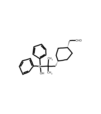 CC(C)(C[C@H]1CC[C@@H](CC=O)CC1)[Si](O)(c1ccccc1)c1ccccc1